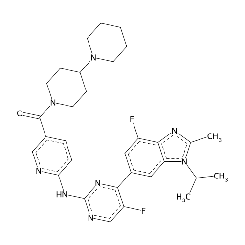 Cc1nc2c(F)cc(-c3nc(Nc4ccc(C(=O)N5CCC(N6CCCCC6)CC5)cn4)ncc3F)cc2n1C(C)C